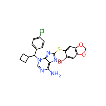 Nc1ncn(C(c2ccc(Cl)cc2)C2CCC2)c2nc(Sc3cc4c(cc3Br)OCO4)nc1-2